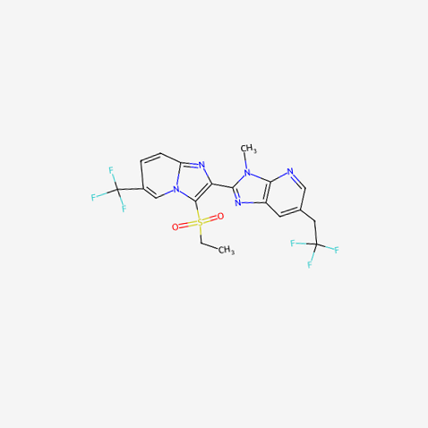 CCS(=O)(=O)c1c(-c2nc3cc(CC(F)(F)F)cnc3n2C)nc2ccc(C(F)(F)F)cn12